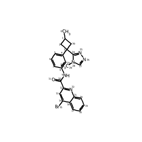 CC1CC(c2cccc(NC(=O)c3cc(Br)c4ccccc4n3)c2)(c2nncn2C)C1